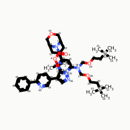 CC(C)(C)OC(=O)N1C2COCC1CC(c1cc(N(COCC[Si](C)(C)C)COCC[Si](C)(C)C)n3ncc(-c4ccc(-c5ccccc5)nc4)c3n1)C2